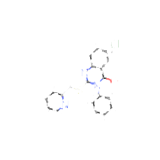 O=c1c2cc(Cl)ccc2nc(SCc2ccccn2)n1-c1ccccc1